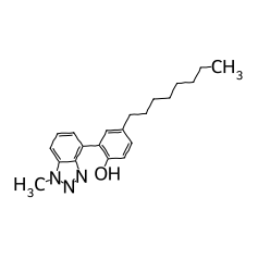 CCCCCCCCc1ccc(O)c(-c2cccc3c2nnn3C)c1